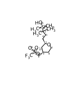 CC(C)(CC[C@H]1OCC[C@@H](F)[C@@H]1OS(=O)(=O)C(F)(F)F)[Si](C)(C)O